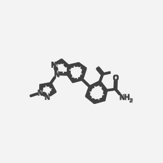 C=C(C)c1c(C(N)=O)cccc1-c1ccc2cnn(-c3cnn(C)c3)c2c1